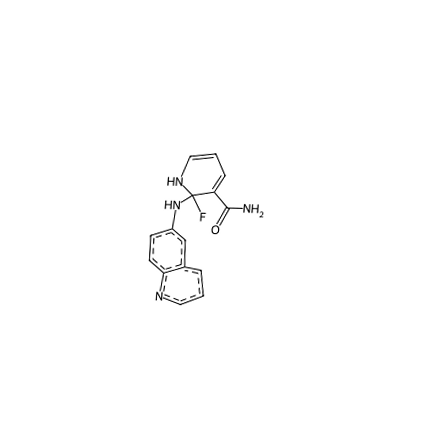 NC(=O)C1=CC=CNC1(F)Nc1ccc2ncccc2c1